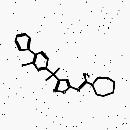 CC(C)(c1ccc(-c2ccccc2)c(F)c1)c1cc(N=C(N)N2CCCCCC2)on1